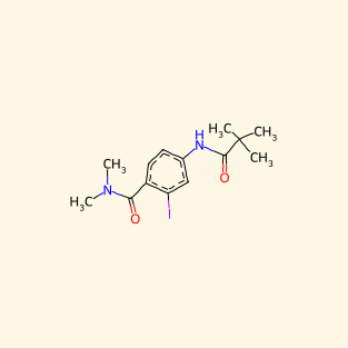 CN(C)C(=O)c1ccc(NC(=O)C(C)(C)C)cc1I